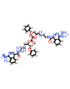 NNc1nnc(C(=O)NCCNCC(COc2ccccc2)OC(=O)C(=O)OC(CNCCNC(=O)c2nnc(NN)c3ccccc23)COc2ccccc2)c2ccccc12